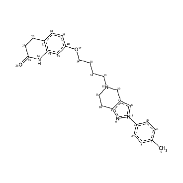 Cc1ccc(-n2cc3c(n2)CCN(CCCCOc2ccc4c(c2)NC(=O)CC4)C3)cc1